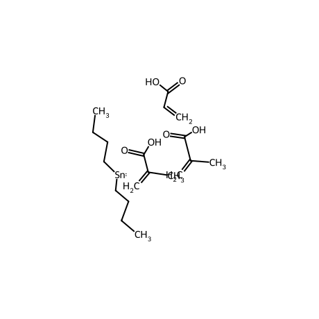 C=C(C)C(=O)O.C=C(C)C(=O)O.C=CC(=O)O.CCC[CH2][Sn][CH2]CCC